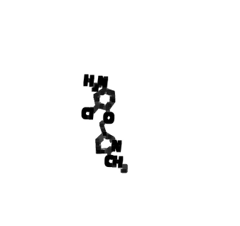 Cc1ccc(COc2ccc(N)cc2Cl)cn1